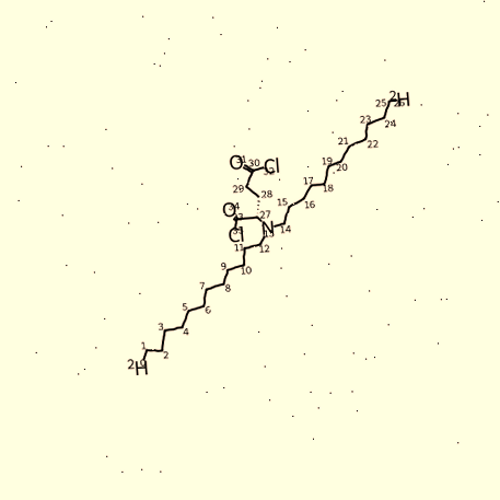 [2H]CCCCCCCCCCCCN(CCCCCCCCCCCC[2H])[C@@H](CCC(=O)Cl)C(=O)Cl